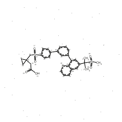 CC(C)(c1cc(-c2cccc(-c3ccc(S(=O)(=O)CC4(CC(=O)O)CC4)cc3)c2)c2ncccc2c1)S(C)(=O)=O